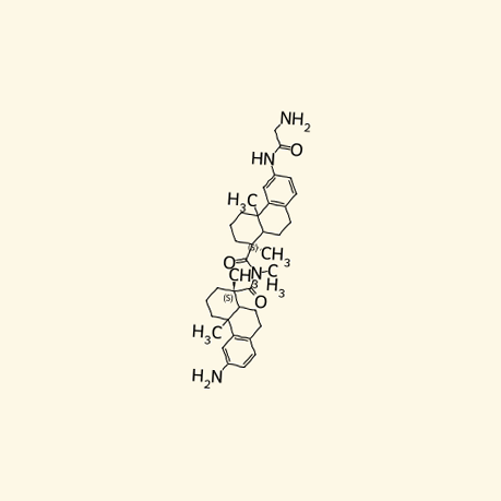 CN(C(=O)[C@@]1(C)CCCC2(C)c3cc(N)ccc3CCC21)C(=O)[C@@]1(C)CCCC2(C)c3cc(NC(=O)CN)ccc3CCC21